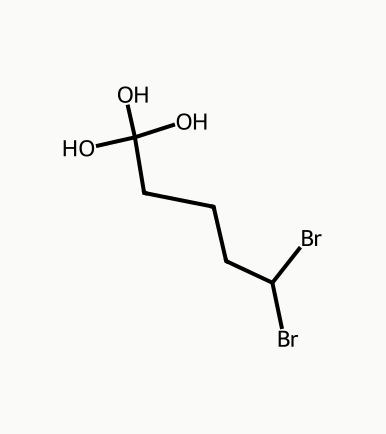 OC(O)(O)CCCC(Br)Br